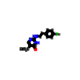 CCOC(=O)c1cnc(NCCc2ccc(F)cc2)[nH]c1=O